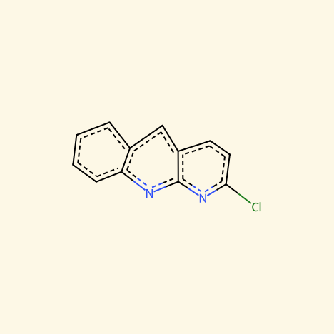 Clc1ccc2cc3ccccc3nc2n1